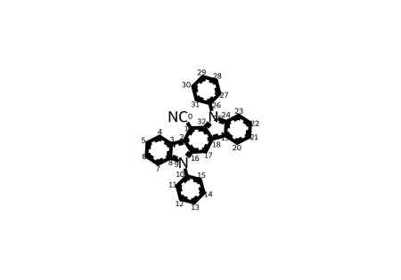 N#Cc1c2c3ccccc3n(-c3ccccc3)c2cc2c3ccccc3n(-c3ccccc3)c12